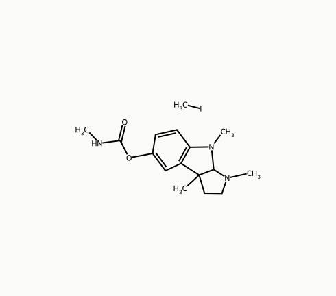 CI.CNC(=O)Oc1ccc2c(c1)C1(C)CCN(C)C1N2C